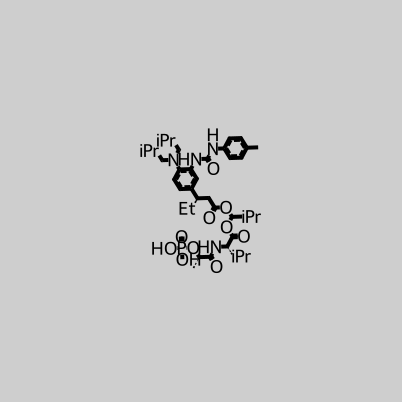 CC[C@@H](CC(=O)OC(OC(=O)[C@@H](NC(=O)[C@H](C)OP(=O)(O)O)C(C)C)C(C)C)c1ccc(N(CC(C)C)CC(C)C)c(NC(=O)Nc2ccc(C)cc2)c1